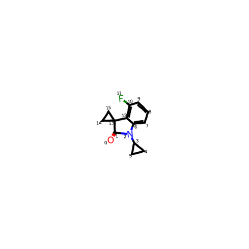 O=C1N(C2CC2)c2cccc(F)c2C12CC2